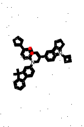 C=C/C=C(\CN(c1ccc(C2=CCC=C2)cc1)c1ccc2c(c1)C(C)(C)c1ccccc1-2)c1ccc2c(c1)c1c(n2C2=C=CC2)CC=C1